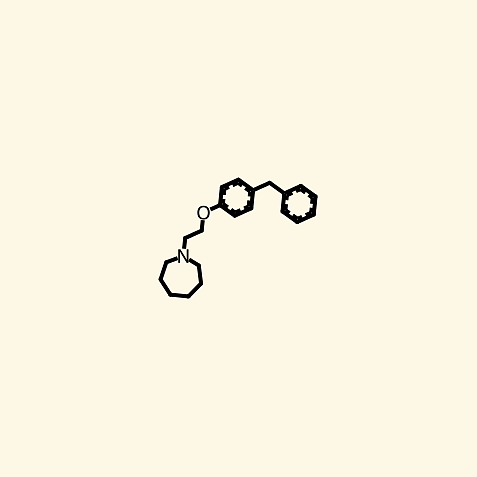 c1ccc(Cc2ccc(OCCN3CCCCCC3)cc2)cc1